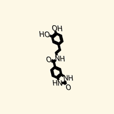 O=C(NCCc1ccc(O)c(O)c1)c1ccc2[nH]c(=O)[nH]c2c1